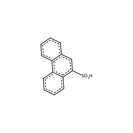 O=S(=O)(O)c1cc2ccccc2c2ccccc12